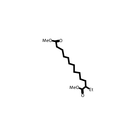 CCC(CCCCCCCCCCC(=O)OC)C(=O)OC